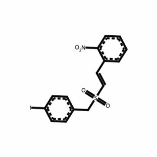 O=[N+]([O-])c1ccccc1C=CS(=O)(=O)Cc1ccc(I)cc1